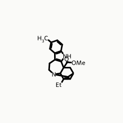 CCC1=CC2CN3CCc4c([nH]c5ccc(C)cc45)C(C(=O)OC)(C2)C13